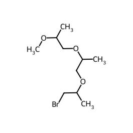 COC(C)COC(C)COC(C)CBr